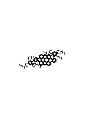 Cc1cc(C)c(-c2ccc3c(c2)c2ccc4cc5ccc6c7ccccc7c7c(-c8c(C)cc(C)cc8C)cc8cc9ccc3c3c9c9c8c7c6c5c9c4c23)c(C)c1